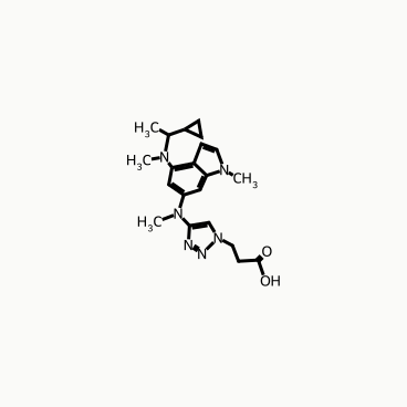 CC(C1CC1)N(C)c1cc(N(C)c2cn(CCC(=O)O)nn2)cc2c1ccn2C